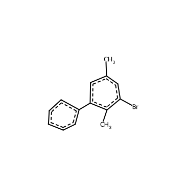 Cc1cc(Br)c(C)c(-c2ccccc2)c1